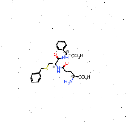 N[C@@H](CCC(=O)N[C@@H](CSCc1ccccc1)C(=O)N[C@@H](C(=O)O)c1ccccc1)C(=O)O